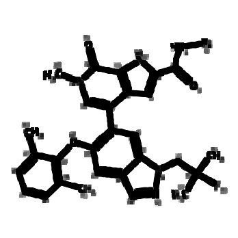 CCNC(=O)c1cc2c(-c3cc4c(cnn4CC(C)(C)F)cc3Oc3c(C)cccc3C)cn(C)c(=O)c2[nH]1